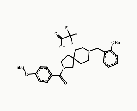 CCCCOc1ccc(C(=O)N2CCC3(CCN(Cc4ccccc4OCC(C)C)CC3)C2)cc1.O=C(O)C(F)(F)F